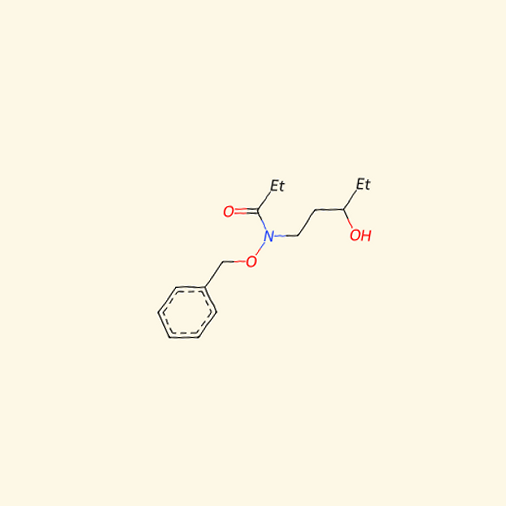 CCC(=O)N(CCC(O)CC)OCc1ccccc1